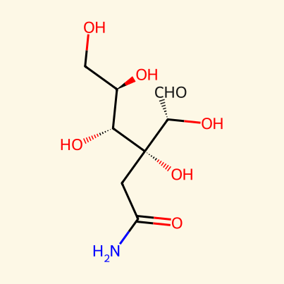 NC(=O)C[C@@](O)([C@H](O)[C@H](O)CO)[C@@H](O)C=O